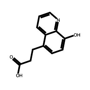 O=C(O)CCc1ccc(O)c2ncccc12